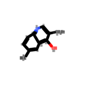 CCOC(=O)c1cnc2ccc(C)cc2c1O